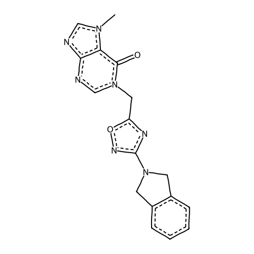 Cn1cnc2ncn(Cc3nc(N4Cc5ccccc5C4)no3)c(=O)c21